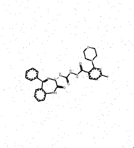 O=C(NNC(=O)c1ccc(F)nc1N1CCOCC1)N[C@H]1N=C(c2ccccc2)c2ccccc2NC1=O